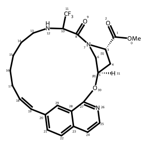 COC(=O)[C@@H]1C[C@@H]2CN1C(=O)C(C(F)(F)F)NCCCCCC=Cc1ccc3ccnc(c3c1)O2